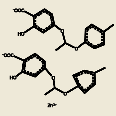 Cc1ccc(OC(C)Oc2ccc(C(=O)[O-])c(O)c2)cc1.Cc1ccc(OC(C)Oc2ccc(C(=O)[O-])c(O)c2)cc1.[Zn+2]